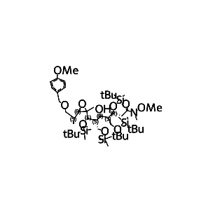 COc1ccc(COC[C@H](C)[C@H]2OC2(C)[C@@H](O[Si](C)(C)C(C)(C)C)[C@@H](CO[Si](C)(C)C(C)(C)C)[C@H](O)[C@H](CO[Si](C)(C)C(C)(C)C)[C@@H](CC(=O)N(C)OC)O[Si](C)(C)C(C)(C)C)cc1